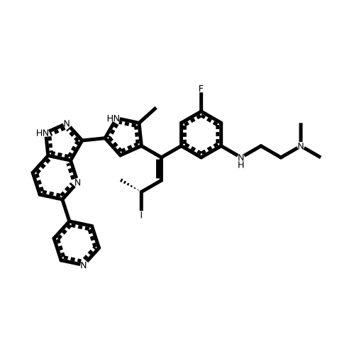 Cc1[nH]c(-c2n[nH]c3ccc(-c4ccncc4)nc23)cc1/C(=C\[C@@H](C)I)c1cc(F)cc(NCCN(C)C)c1